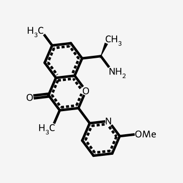 COc1cccc(-c2oc3c([C@@H](C)N)cc(C)cc3c(=O)c2C)n1